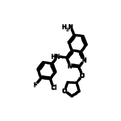 Nc1ccc2nc(O[C@H]3CCOC3)nc(Nc3ccc(F)c(Cl)c3)c2c1